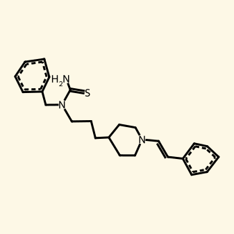 NC(=S)N(CCCC1CCN(C=Cc2ccccc2)CC1)Cc1ccccc1